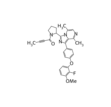 CC#CC(=O)N1CCCC1c1nc(-c2ccc(Oc3cccc(OC)c3F)cc2)c2c(C)ncc(C)n12